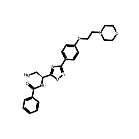 O=C(N[C@@H](CO)c1nc(-c2ccc(OCCN3CCOCC3)cc2)no1)c1ccccc1